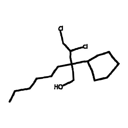 CCCCCCC(CO)(C(Cl)CCl)C1CCCCC1